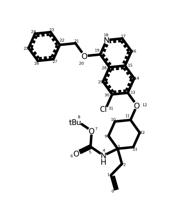 C=CCC1(NC(=O)OC(C)(C)C)CCC(Oc2cc3ccnc(OCc4ccccc4)c3cc2Cl)CC1